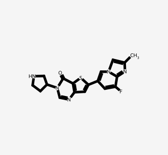 Cc1cn2cc(-c3cc4ncn(C5CCNC5)c(=O)c4s3)cc(F)c2n1